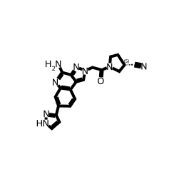 N#C[C@H]1CCN(C(=O)Cn2cc3c(n2)c(N)nc2cc(-c4cc[nH]n4)ccc23)C1